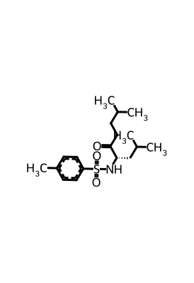 Cc1ccc(S(=O)(=O)N[C@@H](CC(C)C)C(=O)CCC(C)C)cc1